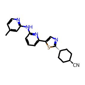 Cc1ccnc(Nc2cccc(-c3cnc([C@H]4CC[C@H](C#N)CC4)s3)n2)c1